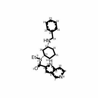 CCN(C(=O)c1cc2cnccc2[nH]1)[C@H]1CCC[C@@H](NCc2ccccc2)C1